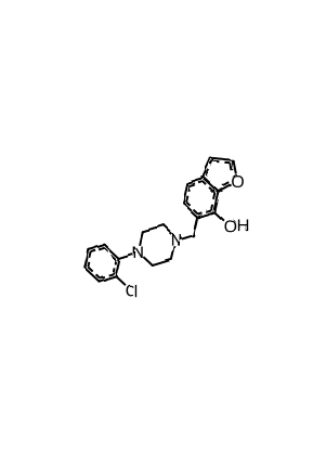 Oc1c(CN2CCN(c3ccccc3Cl)CC2)ccc2ccoc12